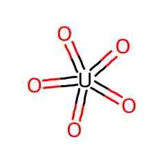 [O]=[U](=[O])(=[O])(=[O])=[O]